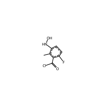 Cc1c(NO)ccc(F)c1C(=O)Cl